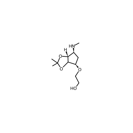 CN[C@H]1C[C@@H](OCCO)C2OC(C)(C)O[C@@H]21